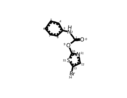 O=C(Nc1ccccc1)Oc1ncc(Br)s1